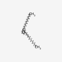 CCCCCCCCCCCCCCc1ccc[n+](CCCCCCCCCCCCCC)c1